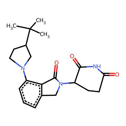 CC(C)(C)C1CCN(c2cccc3c2C(=O)N(C2CCC(=O)NC2=O)C3)C1